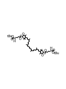 CC(C=CC=C(C)C=CC1=C(C)C(=O)C(OC(=O)CCCNC(=O)OC(C)(C)C)CC1(C)C)=CC=CC=C(C)C=CC=C(C)C=CC1=C(C)C(=O)C(OC(=O)CCCNC(=O)OC(C)(C)C)CC1(C)C